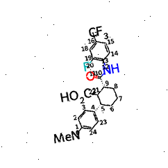 CNc1ccc([C@H]2CCC[C@@H](C(=O)Nc3ccc(C(F)(F)F)cc3F)[C@@H]2C(=O)O)cc1